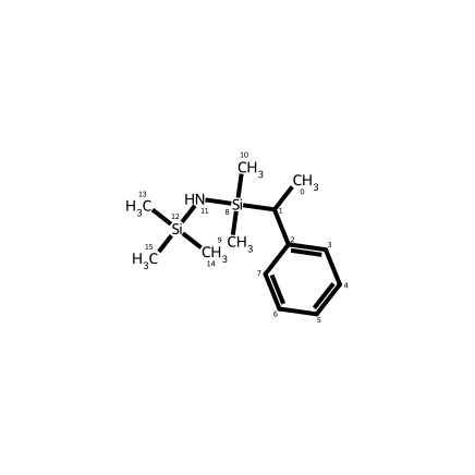 CC(c1ccccc1)[Si](C)(C)N[Si](C)(C)C